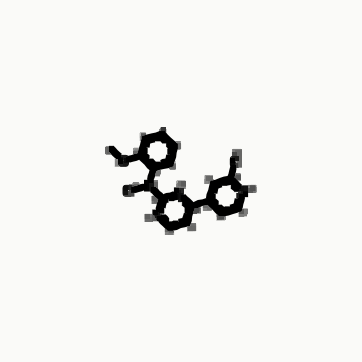 COc1ccccc1N(Cl)c1nccc(-c2ccnc(Cl)c2)n1